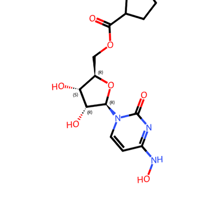 O=C(OC[C@H]1O[C@@H](n2ccc(NO)nc2=O)[C@H](O)[C@@H]1O)C1CCCC1